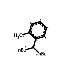 [CH2]c1ccccc1C(CCCC)CCCC